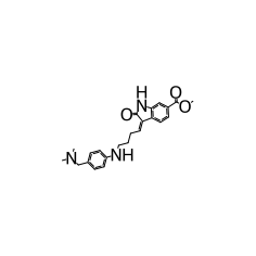 COC(=O)c1ccc2c(c1)NC(=O)/C2=C\CCCNc1ccc(CN(C)C)cc1